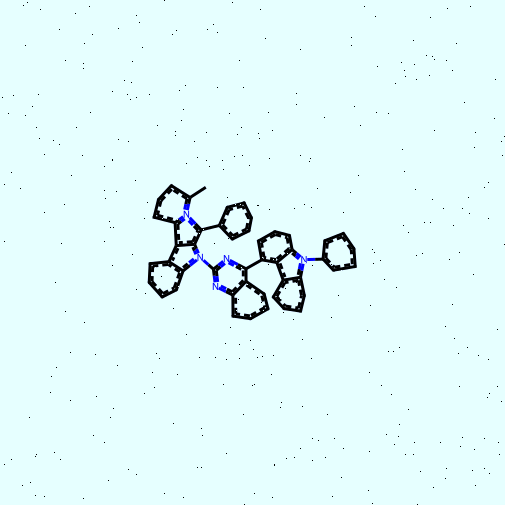 Cc1cccc2c3c4ccccc4n(-c4nc(-c5cccc6c5c5ccccc5n6-c5ccccc5)c5ccccc5n4)c3c(-c3ccccc3)n12